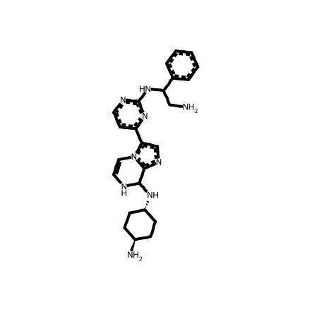 NCC(Nc1nccc(-c2cnc3n2C=CNC3N[C@H]2CC[C@H](N)CC2)n1)c1ccccc1